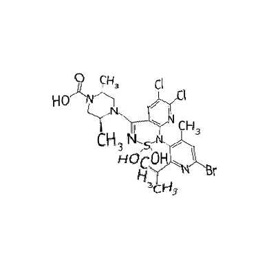 Cc1cc(Br)nc(C(C)C)c1N1c2nc(Cl)c(Cl)cc2C(N2C[C@@H](C)N(C(=O)O)C[C@@H]2C)=NS1(O)O